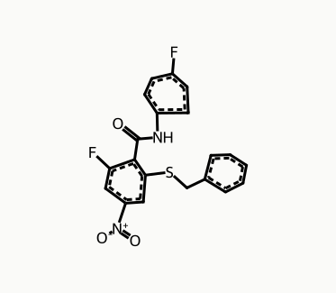 O=C(Nc1ccc(F)cc1)c1c(F)cc([N+](=O)[O-])cc1SCc1ccccc1